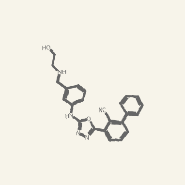 N#Cc1c(-c2ccccc2)cccc1-c1nnc(Nc2cccc(CNCCO)c2)o1